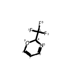 FC(F)(F)C1N=CC=CO1